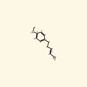 COc1ccc(CC/C=C/Br)cc1